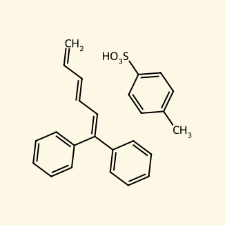 C=CC=CC=C(c1ccccc1)c1ccccc1.Cc1ccc(S(=O)(=O)O)cc1